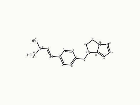 CC(C)(C)N(C=Nc1ccc(CN2CCn3nccc32)cc1)C(=O)O